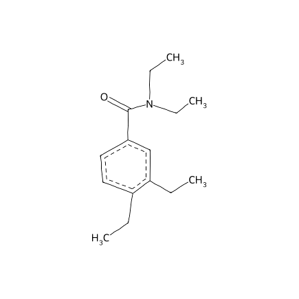 CCc1ccc(C(=O)N(CC)CC)cc1CC